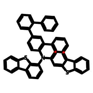 c1ccc(-c2ccccc2-c2ccc(N(c3ccc4c(c3)sc3ccccc34)c3cccc4c3sc3ccccc34)c(-c3ccccc3)c2)cc1